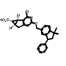 CCc1nc(OCc2ccc3c(c2)C(c2ccccc2)CC3(C)C)cc2c1[C@H]1[C@@H](C2)[C@@H]1C(=O)O